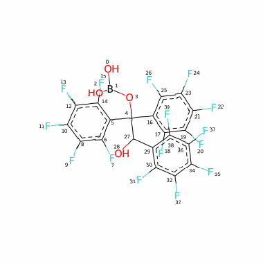 OB(O)OC(c1c(F)c(F)c(F)c(F)c1F)(c1c(F)c(F)c(F)c(F)c1F)C(O)c1c(F)c(F)c(F)c(F)c1F